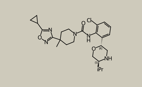 CC(C)[C@H]1CO[C@H](c2cccc(Cl)c2NC(=O)N2CCC(C)(c3noc(C4CC4)n3)CC2)CN1